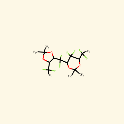 CC(F)(F)C1OC(C(F)(F)F)(C(F)(F)F)OC1C(F)(F)C1OC(C(F)(F)F)(C(F)(F)F)OC(C(C)(F)F)C1(F)F